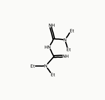 CCN(CC)C(=N)NC(=N)N(CC)CC